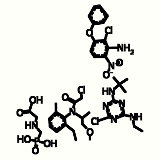 CCNc1nc(Cl)nc(NC(C)(C)C)n1.CCc1cccc(C)c1N(C(=O)CCl)C(C)COC.Nc1c([N+](=O)[O-])ccc(Oc2ccccc2)c1Cl.O=C(O)CNCP(=O)(O)O